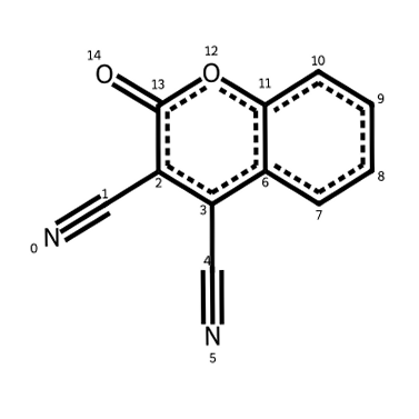 N#Cc1c(C#N)c2ccccc2oc1=O